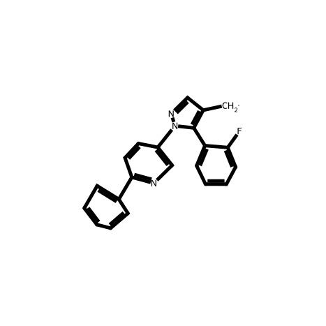 [CH2]c1cnn(-c2ccc(-c3ccccc3)nc2)c1-c1ccccc1F